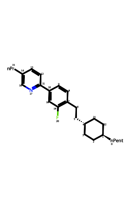 CCCCC[C@H]1CC[C@H](CCc2ccc(-c3ccc(CCC)cn3)cc2F)CC1